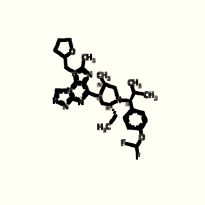 CC[C@@H]1CN(c2nc3nncn3c3c2nc(C)n3CC2CCCO2)[C@@H](C)CN1[C@H](c1ccc(OC(F)F)cc1)C(C)C